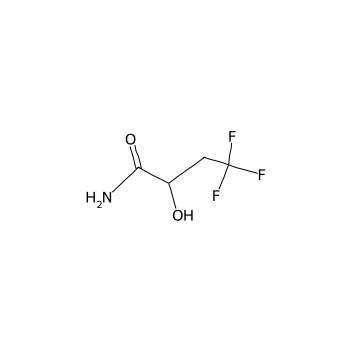 NC(=O)C(O)CC(F)(F)F